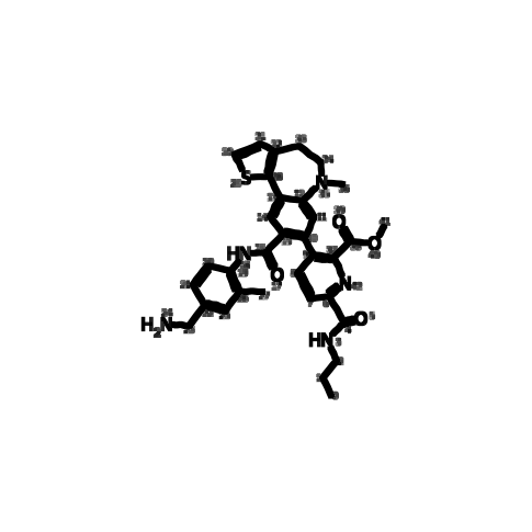 CCCNC(=O)c1ccc(-c2cc3c(cc2C(=O)Nc2ccc(CN)cc2C)-c2sccc2CCN3C)c(C(=O)OC)n1